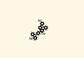 N#Cc1ccc2c(c1)c1ccccc1n2-c1ccccc1-c1ccc(-c2ccc(-n3c4ccccc4c4c(C#N)cccc43)cc2)c(C#N)c1